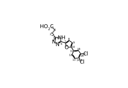 O=C(O)CSc1nnc(-c2ccc(-c3ccc(Cl)c(Cl)c3)o2)[nH]1